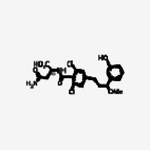 COC(CCc1cc(Cl)c(C(=O)N[C@@H](CC(N)=O)C(=O)O)c(Cl)c1)c1cccc(O)c1